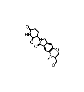 CN1c2cc3c(cc2OCC1CO)CN(C1CCC(=O)NC1=O)C3=O